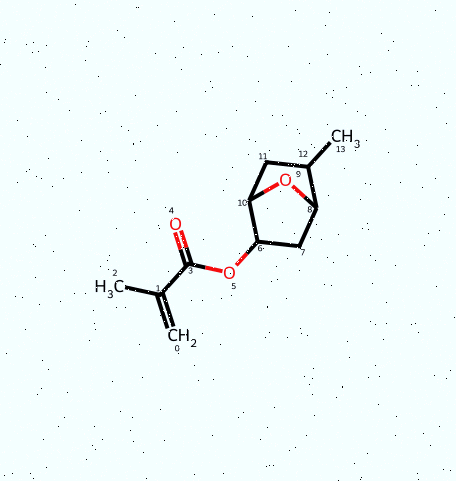 C=C(C)C(=O)OC1CC2OC1CC2C